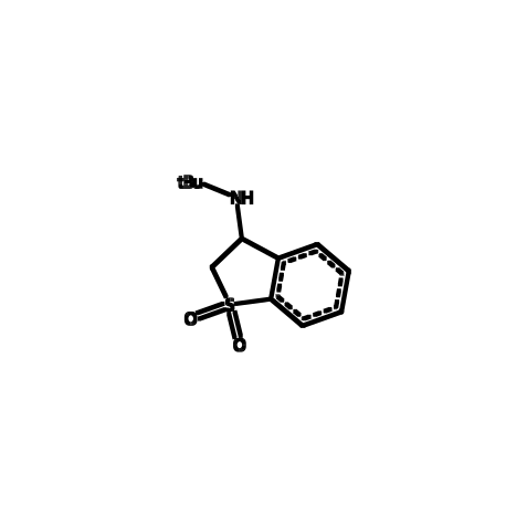 CC(C)(C)NC1CS(=O)(=O)c2ccccc21